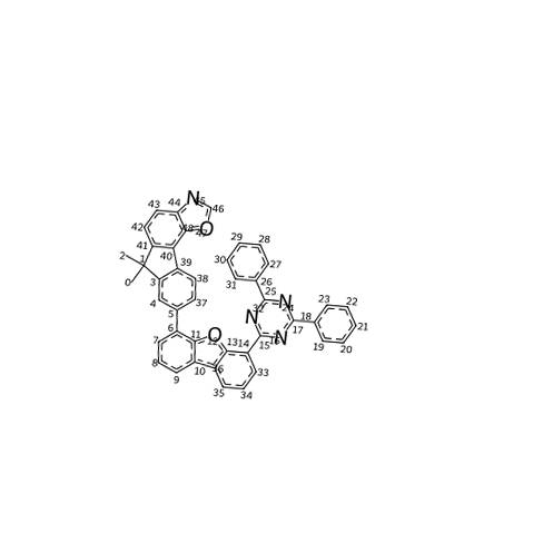 CC1(C)c2cc(-c3cccc4c3oc3c(-c5nc(-c6ccccc6)nc(-c6ccccc6)n5)cccc34)ccc2-c2c1ccc1ncoc21